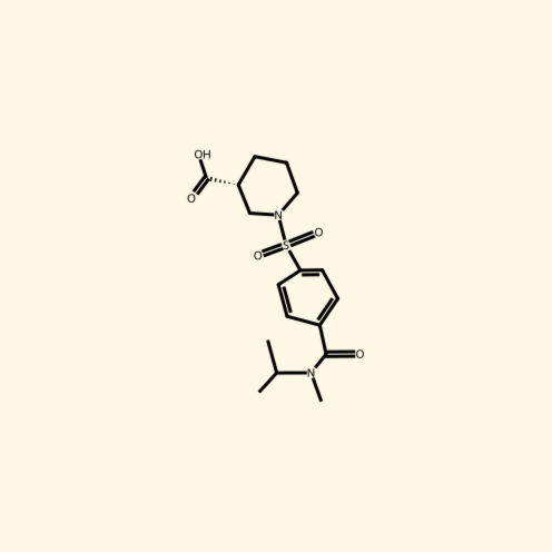 CC(C)N(C)C(=O)c1ccc(S(=O)(=O)N2CCC[C@@H](C(=O)O)C2)cc1